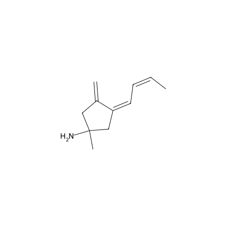 C=C1CC(C)(N)C/C1=C/C=C\C